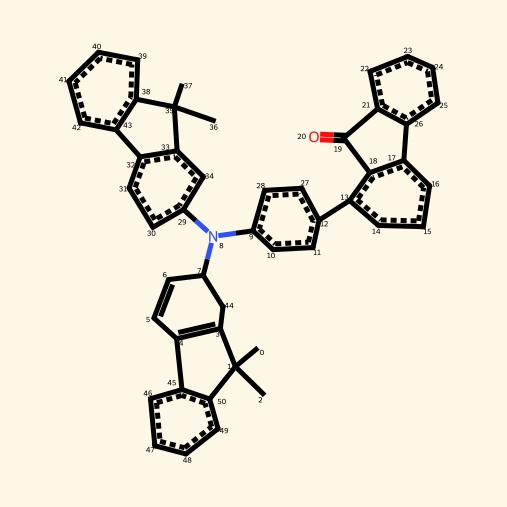 CC1(C)C2=C(C=CC(N(c3ccc(-c4cccc5c4C(=O)c4ccccc4-5)cc3)c3ccc4c(c3)C(C)(C)c3ccccc3-4)C2)c2ccccc21